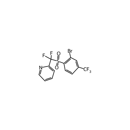 O=S(=O)(c1ccc(C(F)(F)F)cc1Br)C(F)(F)c1ccccn1